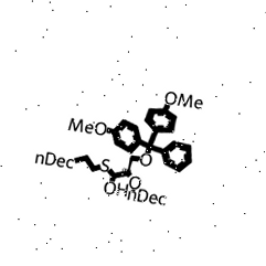 CCCCCCCCCCCCSC(O)[C@@H](COC(c1ccccc1)(c1ccc(OC)cc1)c1ccc(OC)cc1)OCCCCCCCCCC